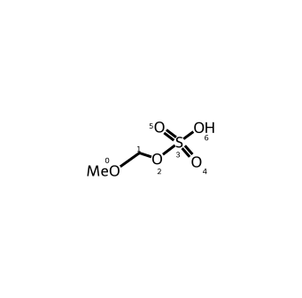 COCOS(=O)(=O)O